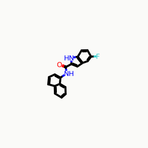 O=C(Nc1cccc2ccccc12)c1cc2cc(F)ccc2[nH]1